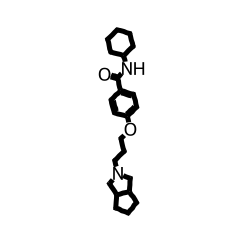 O=C(NC1CCCCC1)c1ccc(OCCCN2CC3CCCC3C2)cc1